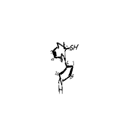 Sc1nccn1-c1cc[nH]c1